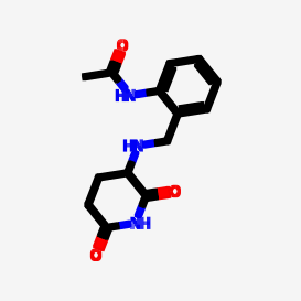 CC(=O)Nc1ccccc1CNC1CCC(=O)NC1=O